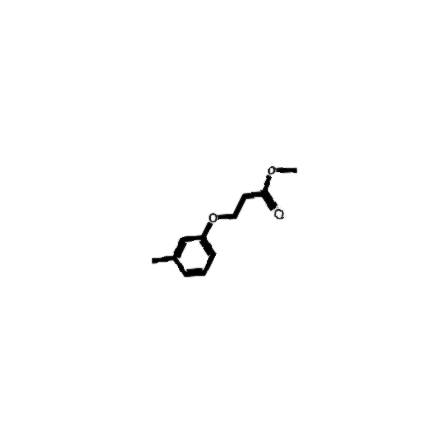 COC(=O)CCOc1cccc(C)c1